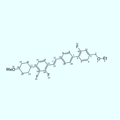 CCOCc1ccc(-c2ccc(/C=C/c3ccc(C4CCC(OC)CC4)c(F)c3F)cc2)c(F)c1